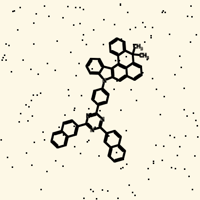 CC1(C)c2ccccc2-c2c3c1cccc3cc1c2c2ccccc2n1-c1ccc(-c2nc(-c3ccc4ccccc4c3)nc(-c3ccc4ccccc4c3)n2)cc1